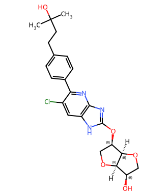 CC(C)(O)CCc1ccc(-c2nc3nc(O[C@@H]4CO[C@H]5[C@@H]4OC[C@H]5O)[nH]c3cc2Cl)cc1